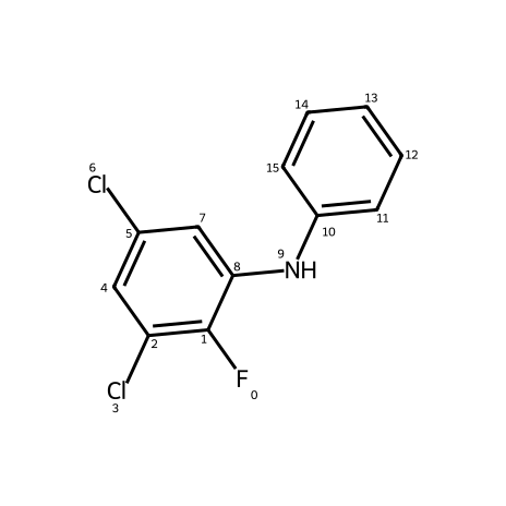 Fc1c(Cl)cc(Cl)cc1Nc1ccccc1